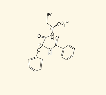 CC(C)C[C@H](NC(=O)[C@H](Cc1ccccc1)NC(=O)c1ccccc1)C(=O)O